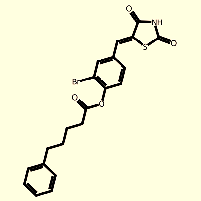 O=C(CCCCc1ccccc1)Oc1ccc(/C=C2\SC(=O)NC2=O)cc1Br